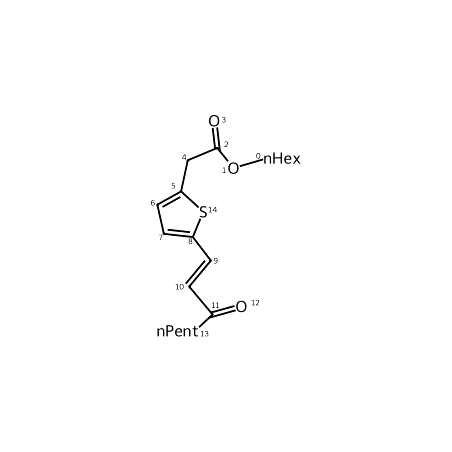 CCCCCCOC(=O)Cc1ccc(C=CC(=O)CCCCC)s1